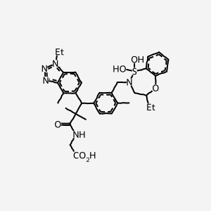 CCC1CN(Cc2cc(C(c3ccc4c(nnn4CC)c3C)C(C)(C)C(=O)NCC(=O)O)ccc2C)S(O)(O)c2ccccc2O1